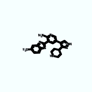 Nc1ncc(-c2c[nH]nc2C2CCNCC2)cc1-c1nc2cc(C(F)(F)F)ccc2s1